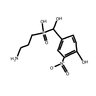 NCCCP(=O)(O)C(O)c1ccc(O)c([N+](=O)[O-])c1